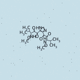 CON[C@H](C(=O)C(=O)c1nc[nH]c1C(=O)C(=O)[C@@H](NOC)C(C)C)C(C)C